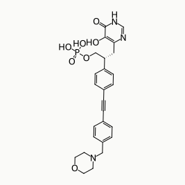 O=c1[nH]cnc(C[C@@H](COP(=O)(O)O)c2ccc(C#Cc3ccc(CN4CCOCC4)cc3)cc2)c1O